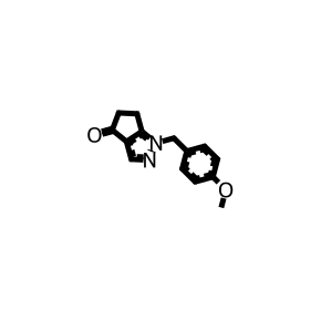 COc1ccc(Cn2ncc3c2CCC3=O)cc1